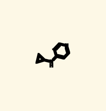 [c]1cnccc1NC1CC1